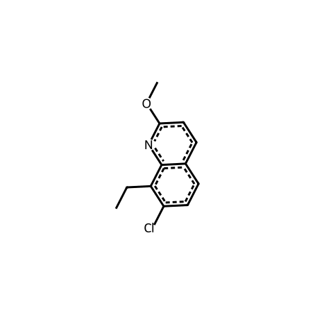 CCc1c(Cl)ccc2ccc(OC)nc12